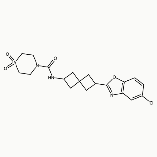 O=C(NC1CC2(C1)CC(c1nc3cc(Cl)ccc3o1)C2)N1CCS(=O)(=O)CC1